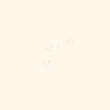 Cc1ccc(NC(=O)NCc2ccccc2)cc1N1Cc2cnc(N)nc2C2(CC2)C1=O